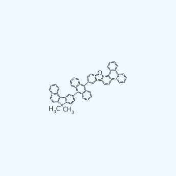 CC1(C)c2ccc(-c3c4ccccc4c(-c4ccc5oc6c(ccc7c8ccccc8c8ccccc8c76)c5c4)c4ccccc34)cc2-c2c1ccc1ccccc21